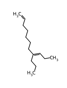 C=CCCCCCC(=CCC)CCC